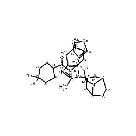 CC(=O)N1CCc2c(nc(C)n2C2CC3CCC(C2)N3CC[C@H](NC(=O)C2CCC(F)(F)CC2)c2ccsc2)C1